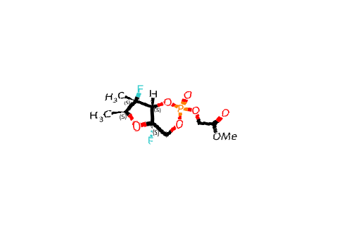 COC(=O)COP1(=O)OC[C@@]2(F)O[C@@H](C)[C@](C)(F)[C@@H]2O1